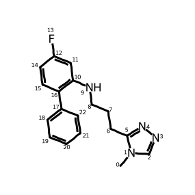 Cn1cnnc1CCCNc1cc(F)ccc1-c1ccccc1